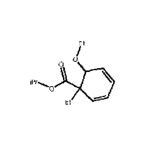 CCOC1C=CC=CC1(CC)C(=O)OC(C)C